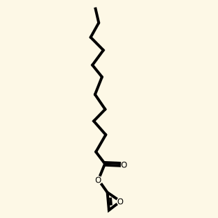 CCCCCCCCCCCC(=O)OC1=CO1